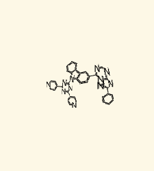 c1ccc(-c2nc3ncnc(-c4ccc5c(c4)c4ccccc4n5-c4nc(-c5ccncc5)nc(-c5ccncc5)n4)n3n2)cc1